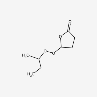 CCC(C)OOC1CCC(=O)O1